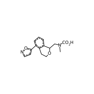 CN(CC1OCCc2c(-c3ccno3)cccc21)C(=O)O